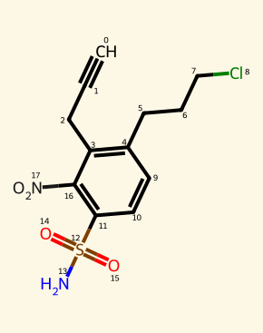 C#CCc1c(CCCCl)ccc(S(N)(=O)=O)c1[N+](=O)[O-]